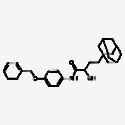 O=C(Nc1ccc(OCc2ccccc2)cc1)C(O)CCC12CC3CC(CC(C3)C1)C2